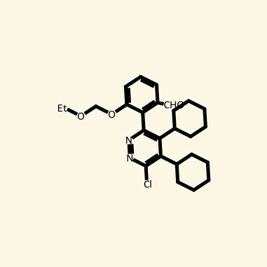 CCOCOc1cccc(C=O)c1-c1nnc(Cl)c(C2CCCCC2)c1C1CCCCC1